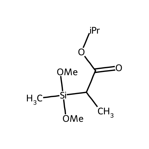 CO[Si](C)(OC)C(C)C(=O)OC(C)C